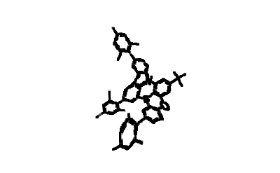 Cc1cc(C)c(-c2ccc3c(c2)B2c4c(cc(C(C)(C)C)cc4-n4c5ccc(-c6c(C)cc(C)cc6C)cc5c5cc(-c6c(C)cc(C)cc6C)cc2c54)O3)c(C)c1